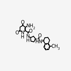 Cc1cccc2c1CCC[C@H]2NC(=O)[C@@H]1CCC(NC(=O)C2=C(N)C(=O)CC(=O)N2)C1